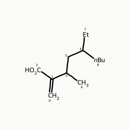 C=C(C(=O)O)C(C)CC(CC)CCCC